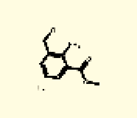 COC(=O)c1cccc(CCl)c1N.Cl